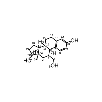 C[C@]12CC(CO)[C@@H]3c4ccc(O)cc4CC[C@H]3[C@@H]1CC[C@@H]2O